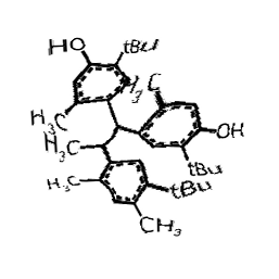 Cc1cc(C)c(C(C)(C)C)cc1C(C)C(c1cc(C(C)(C)C)c(O)cc1C)c1cc(C(C)(C)C)c(O)cc1C